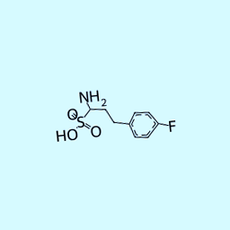 NC(CCc1ccc(F)cc1)S(=O)(=O)O